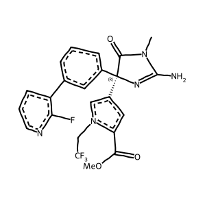 COC(=O)c1cc([C@@]2(c3cccc(-c4cccnc4F)c3)N=C(N)N(C)C2=O)cn1CC(F)(F)F